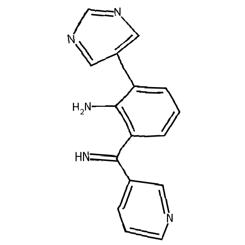 N=C(c1cccnc1)c1cccc(-c2cncnc2)c1N